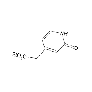 CCOC(=O)Cc1cc[nH]c(=O)c1